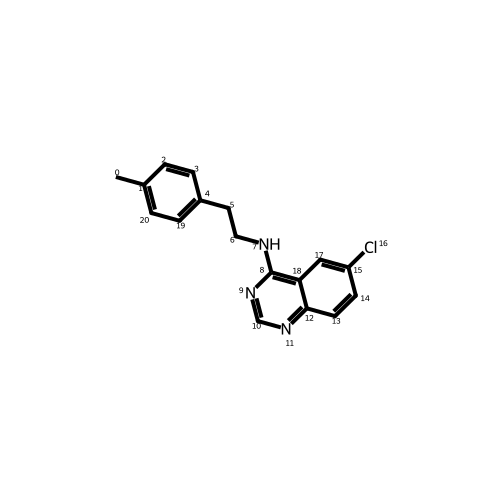 Cc1ccc(CCNc2ncnc3ccc(Cl)cc23)cc1